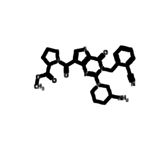 COC(=O)C1CCCN1C(=O)c1csc2c(=O)n(Cc3ccccc3C#N)c(N3CCCC(N)C3)nc12